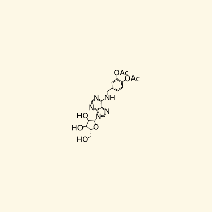 CC(=O)Oc1ccc(CNc2ncnc3c2ncn3[C@@H]2O[C@H](CO)[C@@H](O)[C@H]2O)cc1OC(C)=O